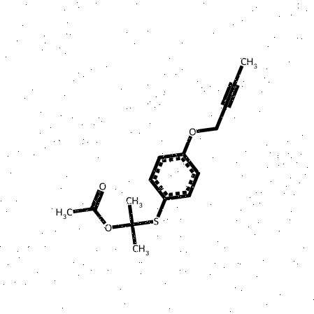 CC#CCOc1ccc(SC(C)(C)OC(C)=O)cc1